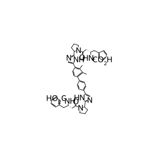 Cc1c(-c2ccc(-c3cnc(C4CCCN4C(=O)C[C@H](Cc4ccccc4)NC(=O)O)[nH]3)cc2)ccc(-c2cnc(C3CCCN3C(=O)C[C@H](Cc3ccccc3)NC(=O)O)[nH]2)c1C